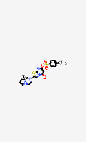 Cc1ccc(S(=O)(=O)Oc2cc(=O)n3cc(N4CCN5CCC[C@H]5C4)sc3n2)cc1